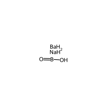 O=BO.[BaH2].[NaH]